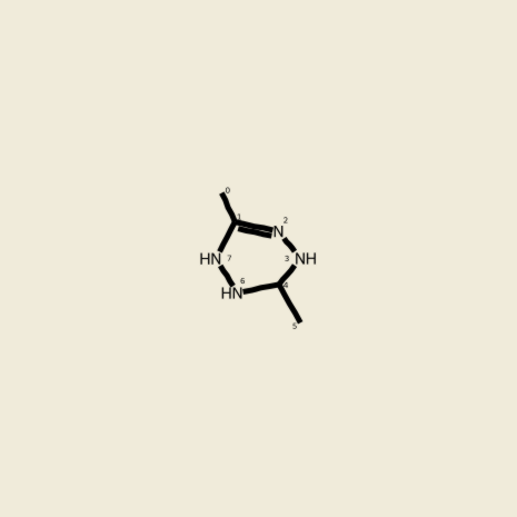 CC1=NNC(C)NN1